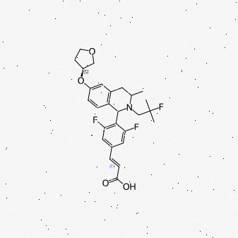 CC1Cc2cc(O[C@H]3CCOC3)ccc2C(c2c(F)cc(/C=C/C(=O)O)cc2F)N1CC(C)(C)F